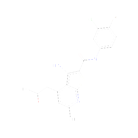 Cc1cc(CC(C)O)c2c(N)c(C(=O)Nc3ccc(Br)c(Cl)c3)sc2n1